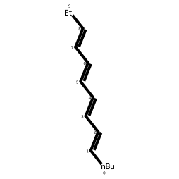 [CH2]CCCC=CC=CC=CC=CCC